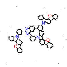 c1cc(-c2ccc3nc(-c4cccc(-n5c6ccccc6c6c7oc8ccccc8c7ccc65)c4)nc(-c4cccc(-n5c6ccccc6c6c7oc8ccccc8c7ccc65)c4)c3c2)cc(-n2c3ccccc3c3c4oc5ccccc5c4ccc32)c1